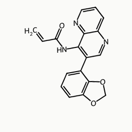 C=CC(=O)Nc1c(-c2cccc3c2OCO3)cnc2cccnc12